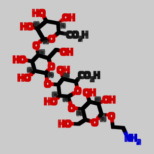 NCCO[C@@H]1OC(CO)[C@@H](O[C@@H]2OC(C(=O)O)[C@@H](O)C(O[C@@H]3OC(CO)[C@@H](O[C@@H]4OC(C(=O)O)[C@@H](O)C(O)[C@@H]4O)C(O)[C@@H]3O)[C@@H]2O)C(O)[C@@H]1O